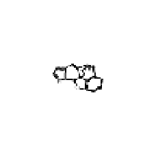 C1=NC2C(=C1)C=C1C3Cc4cccc5c4C1(CCN3)C2O5